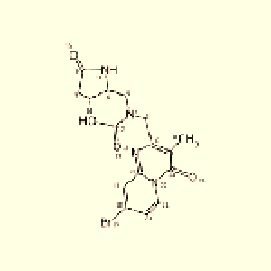 Cc1c(CN(CC2CCC(=O)N2)C(=O)O)nc2cc(Br)ccn2c1=O